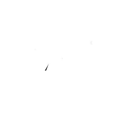 C=CC[C@@H]1O[C@@H](/C=C/CC)CC1=O